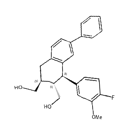 COc1cc([C@@H]2c3cc(-c4ccccc4)ccc3C[C@H](CO)[C@H]2CO)ccc1F